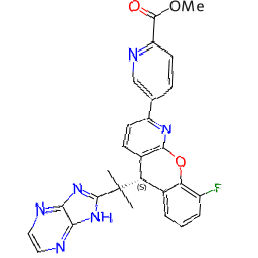 COC(=O)c1ccc(-c2ccc3c(n2)Oc2c(F)cccc2[C@@H]3C(C)(C)c2nc3nccnc3[nH]2)cn1